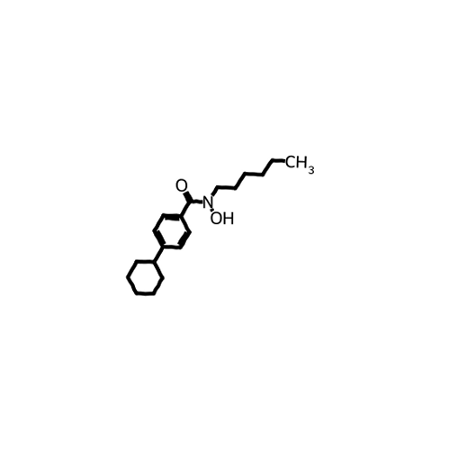 CCCCCCN(O)C(=O)c1ccc(C2CCCCC2)cc1